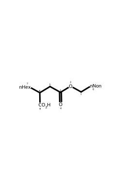 CCCCCCCCCCOC(=O)CC(CCCCCC)C(=O)O